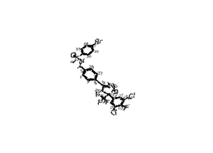 CS(=O)(=NCc1ccc(C2=NOC(c3cc(Cl)c(F)c(Cl)c3)(C(F)(F)F)C2)cc1)c1ccc(Br)cc1